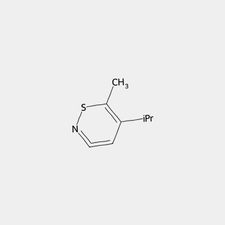 CC1=C(C(C)C)C=C=NS1